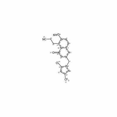 COc1ccc2nc(Cn3nc(C(F)(F)F)cc3Cl)cc(=O)n2c1CCC#N